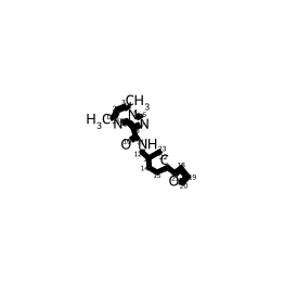 Cc1cc(C)n2cnc(C(=O)NCC3CCC(c4ccco4)CC3)c2n1